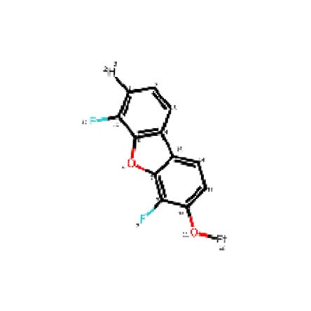 [2H]c1ccc2c(oc3c(F)c(OCC)ccc32)c1F